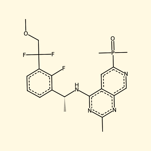 COCC(F)(F)c1cccc([C@@H](C)Nc2nc(C)nc3cnc(P(C)(C)=O)cc23)c1F